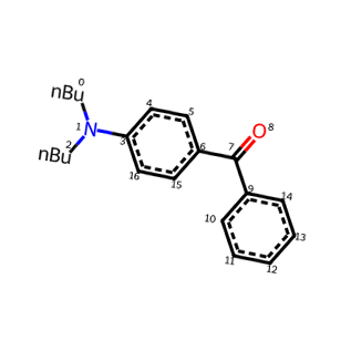 CCCCN(CCCC)c1ccc(C(=O)c2ccccc2)cc1